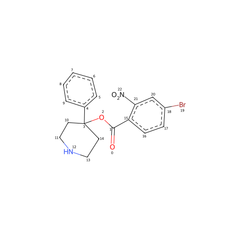 O=C(OC1(c2ccccc2)CCNCC1)c1ccc(Br)cc1[N+](=O)[O-]